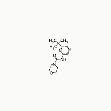 CC(C)(C)c1cncc(NC(=O)N2CCOCC2)n1